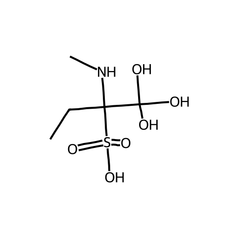 CCC(NC)(C(O)(O)O)S(=O)(=O)O